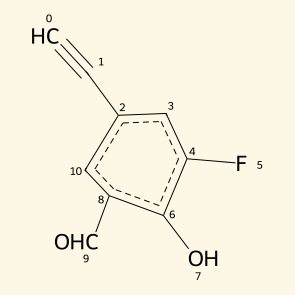 C#Cc1cc(F)c(O)c(C=O)c1